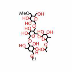 CCOCC1CC(CO)C(COCC2OC(COC3OC(COCC(C)O)C(C)C(O)C3O)C(COCC3OC(CO)C(COC)C(O)C3O)C(O)C2O)C(O)C1O